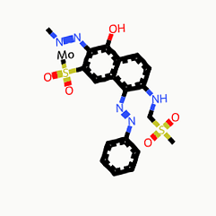 C/N=N/c1c([S](=O)(=O)[Mo])cc2c(/N=N/c3ccccc3)c(NCS(C)(=O)=O)ccc2c1O